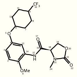 COc1ccc(OC2CCC(C(F)(F)F)CC2)cc1NC(=O)[C@H]1COC(=O)N1C